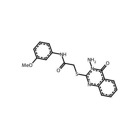 COc1cccc(NC(=O)CSc2nc3ccccc3c(=O)n2N)c1